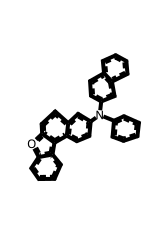 c1ccc(N(c2ccc3ccccc3c2)c2ccc3c(ccc4oc5ccccc5c43)c2)cc1